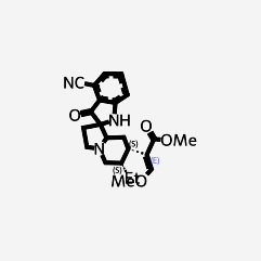 CC[C@@H]1CN2CCC3(Nc4cccc(C#N)c4C3=O)C2C[C@@H]1/C(=C\OC)C(=O)OC